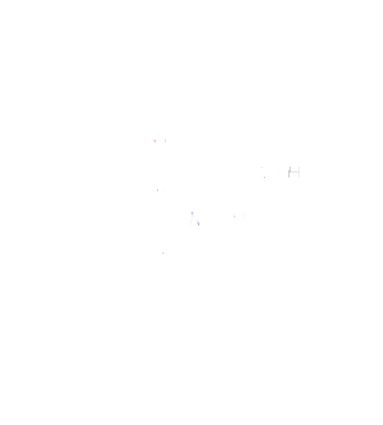 C[C@@H]1C(=O)N(OS(=O)(=O)O)C1(C)C